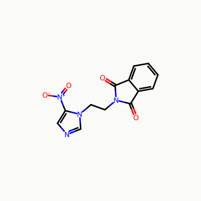 O=C1c2ccccc2C(=O)N1CCn1cncc1[N+](=O)[O-]